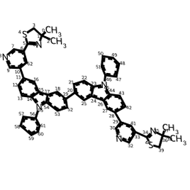 CC1(C)CSC(c2cncc(-c3ccc4c(c3)c3cc(-c5ccc6c(c5)c5cc(-c7cncc(C8=NC(C)(C)CS8)c7)ccc5n6-c5ccccc5)ccc3n4-c3ccccc3)c2)=N1